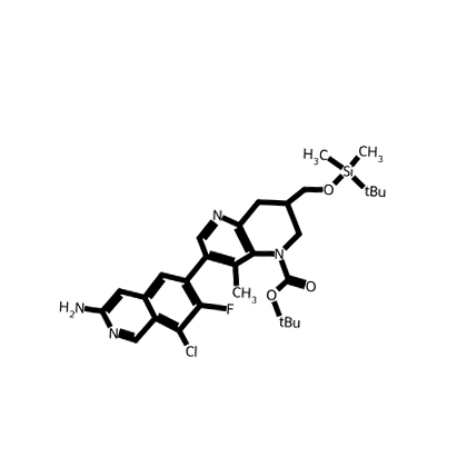 Cc1c(-c2cc3cc(N)ncc3c(Cl)c2F)cnc2c1N(C(=O)OC(C)(C)C)CC(CO[Si](C)(C)C(C)(C)C)C2